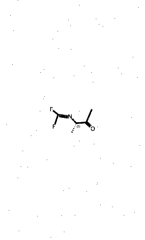 CC(=O)[C@H](C)N=C(F)F